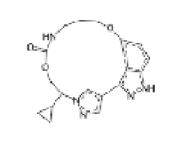 O=C1NCCCOc2ccc3[nH]nc(c3c2)-c2cnn(c2)C(C2CC2)CO1